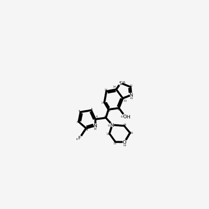 Oc1c(C(c2cccc(F)n2)N2CCOCC2)ccc2scnc12